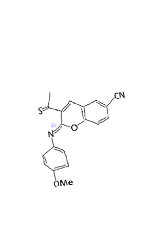 COc1ccc(/N=c2\oc3ccc(C#N)cc3cc2C(C)=S)cc1